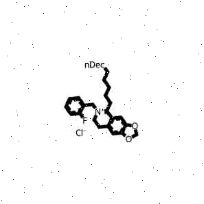 CCCCCCCCCCCCCCCC1=[N+](Cc2ccccc2F)CCc2cc3c(cc21)OCO3.[Cl-]